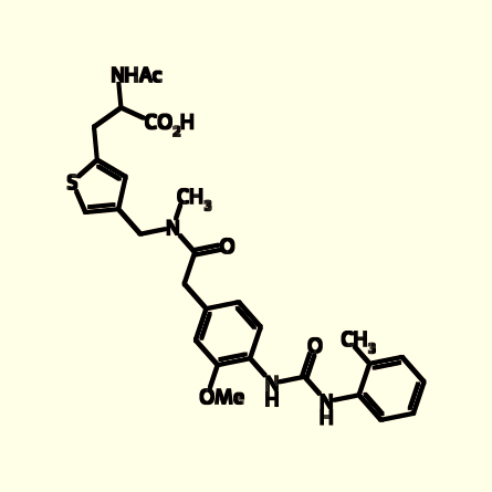 COc1cc(CC(=O)N(C)Cc2csc(CC(NC(C)=O)C(=O)O)c2)ccc1NC(=O)Nc1ccccc1C